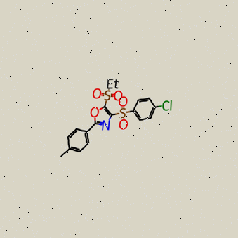 CCS(=O)(=O)c1oc(-c2ccc(C)cc2)nc1S(=O)(=O)c1ccc(Cl)cc1